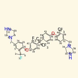 CC(C)(F)c1cc(CN2CCNCC2)ccc1Oc1ccc(C(c2ccc(Oc3ccc(CN4CCNCC4)cc3C(F)(F)F)cc2)(C(F)(F)F)C(F)(F)F)cc1